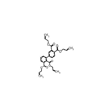 C=CCOC(=O)c1ccc(-c2cccc(C(=O)OCC=C)c2C(=O)OCC=C)cc1C(=O)OCC=C